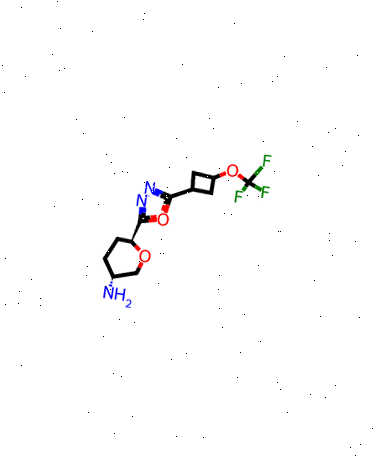 N[C@@H]1CC[C@@H](c2nnc(C3CC(OC(F)(F)F)C3)o2)OC1